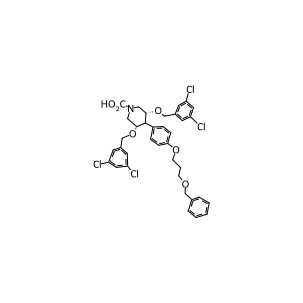 O=C(O)N1C[C@H](OCc2cc(Cl)cc(Cl)c2)C(c2ccc(OCCCOCc3ccccc3)cc2)[C@H](OCc2cc(Cl)cc(Cl)c2)C1